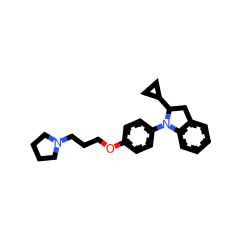 c1ccc2c(c1)CC(C1CC1)N2c1ccc(OCCCN2CCCC2)cc1